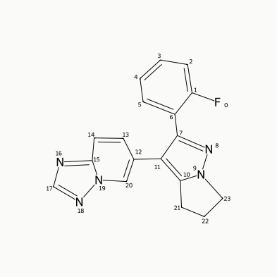 Fc1ccccc1-c1nn2c(c1-c1ccc3ncnn3c1)CCC2